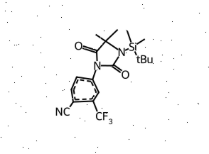 CC1(C)C(=O)N(c2ccc(C#N)c(C(F)(F)F)c2)C(=O)N1[Si](C)(C)C(C)(C)C